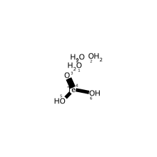 O.O.O.O=[Te](O)O